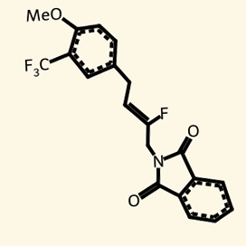 COc1ccc(C/C=C(\F)CN2C(=O)c3ccccc3C2=O)cc1C(F)(F)F